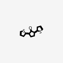 O=C1C(=C2CC=CS2)CCC1=C1CC=CS1